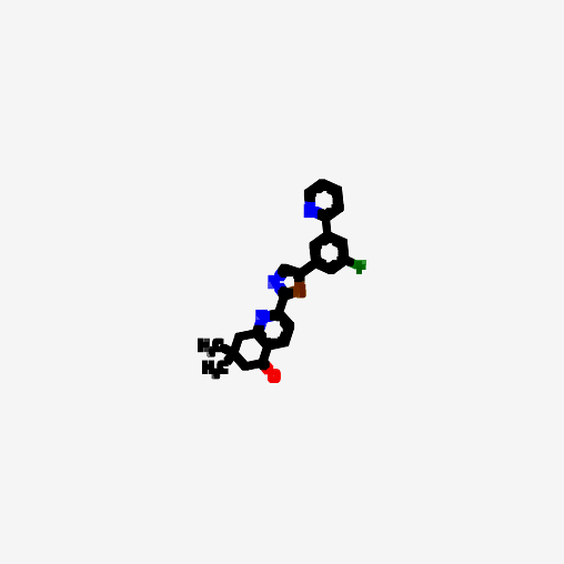 CC1(C)CC(=O)c2ccc(-c3ncc(-c4cc(F)cc(-c5ccccn5)c4)s3)nc2C1